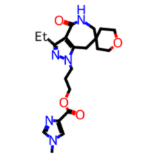 CCc1nn(CCCOC(=O)c2cn(C)cn2)c2c1C(=O)NCC1(CCOCC1)C2